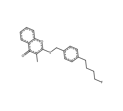 Cc1c(SCc2ccc(CCCCF)cc2)oc2ccccc2c1=O